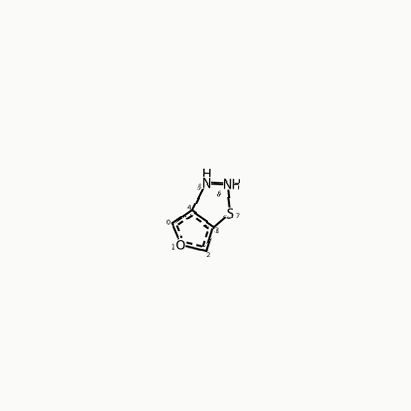 c1occ2c1NNS2